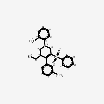 Cc1cccc(C2=C(S(=O)(=O)c3ccccc3)CN(c3ccccc3C)CC2CBr)c1